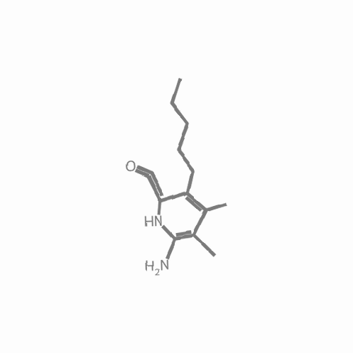 CCCCCC1=C(C)C(C)=C(N)NC1=C=O